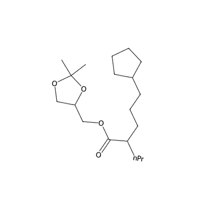 CCCC(CCCC1CCCC1)C(=O)OCC1COC(C)(C)O1